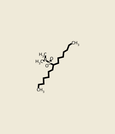 CCCCCCCC(CCCCCCC)S(=O)(=O)N(C)C